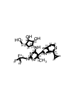 Cc1nc(NCC(F)(F)F)nc(N[C@@H]2C[C@H](CO)[C@@H](O)[C@H]2O)c1-c1nc2c(C3CC3)nccc2s1